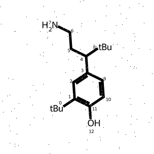 CC(C)(C)c1cc(C(CCN)C(C)(C)C)ccc1O